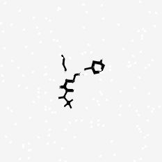 CCCCOc1c(C(=O)NCc2cccc(Cl)c2)occ(C(C)C(C)(C)C)c1=O